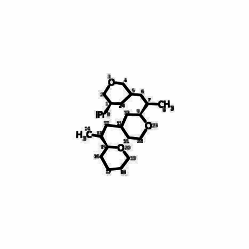 CC(C)[C@H]1COCC(CC(C)[C@@H]2CC(CC(C)[C@@H]3CCCCO3)CCO2)C1